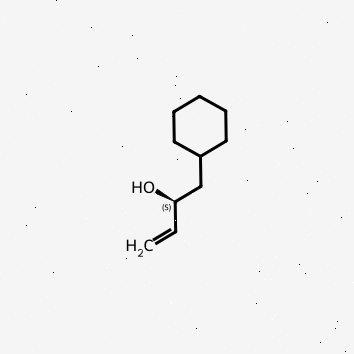 C=C[C@@H](O)CC1CCCCC1